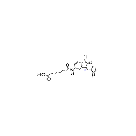 O=C(O)CCCCCCC(=O)Nc1ccc2c(c1)/C(=C/c1ccc[nH]1)C(=O)N2